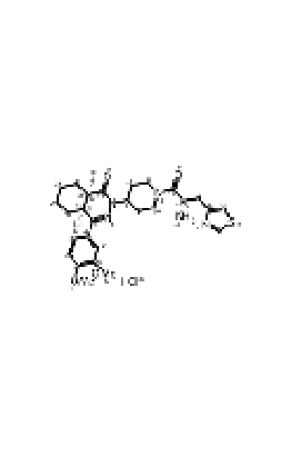 COc1ccc(C2=NN(C3CCN(C(=O)[C@@H](N)Cc4cscn4)CC3)C(=O)[C@@H]3CCCC[C@H]23)cc1OC.Cl